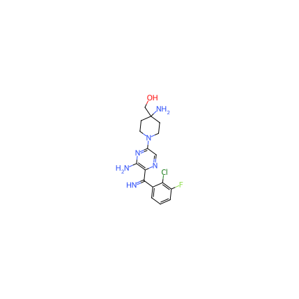 N=C(c1cccc(F)c1Cl)c1ncc(N2CCC(N)(CO)CC2)nc1N